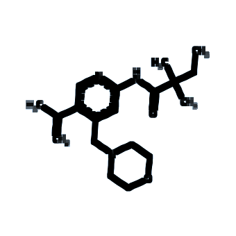 C=C(C)c1cnc(NC(=O)C(C)(C)CC)cc1CN1CCOCC1